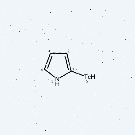 [TeH]c1ccc[nH]1